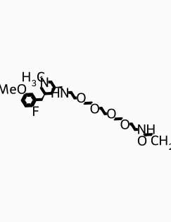 C=CC(=O)NCCOCCOCCOCCOCCNC[C@H]1C[C@@H](Cc2cc(OC)ccc2F)CN(C)C1